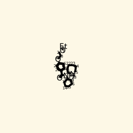 CCOCCOc1ccc(C(=O)N[C@@H]2CCCC[C@H]2CN2CCCCCC2)cc1